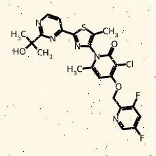 Cc1sc(-c2ccnc(C(C)(C)O)n2)nc1-n1c(C)cc(OCc2ncc(F)cc2F)c(Cl)c1=O